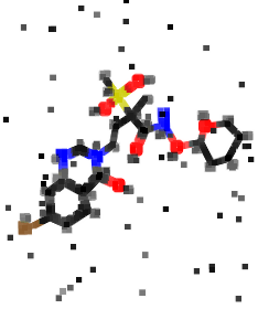 CC(CCn1cnc2cc(Br)ccc2c1=O)(C(=O)NOC1CCCCO1)S(C)(=O)=O